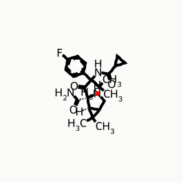 CC1(C)C2CN[C@](C(N)=O)(C(=O)C(NC(=O)C3CC3)(c3ccc(F)cc3)C(C)(C)C)[C@@H]21